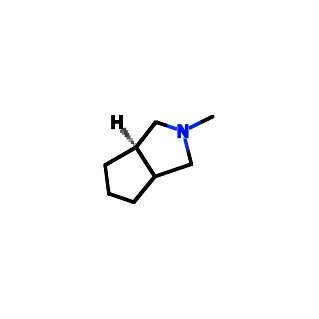 CN1CC2CCC[C@H]2C1